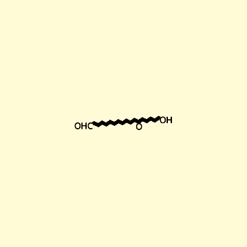 O=CCCCCCCCCCCCC(=O)CCCCCO